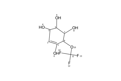 OC1=CC(O)C(O)C(O)C1OC(F)(F)F